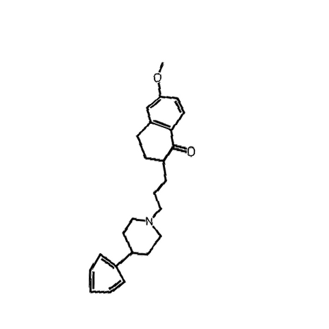 COc1ccc2c(c1)CCC(CCCN1CCC(c3ccccc3)CC1)C2=O